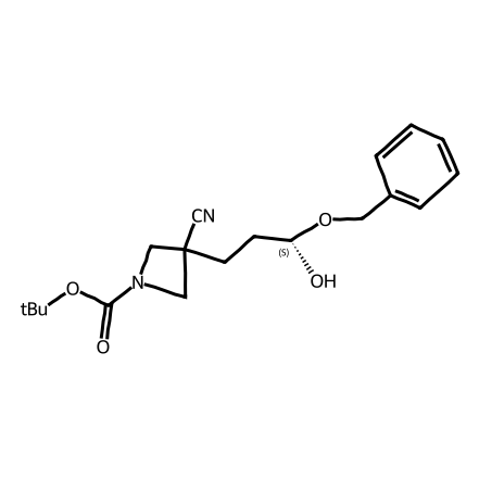 CC(C)(C)OC(=O)N1CC(C#N)(CC[C@@H](O)OCc2ccccc2)C1